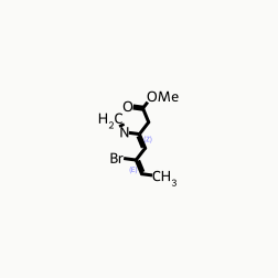 C=N/C(=C\C(Br)=C/C)CC(=O)OC